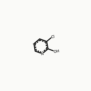 Oc1nc[c]cc1Cl